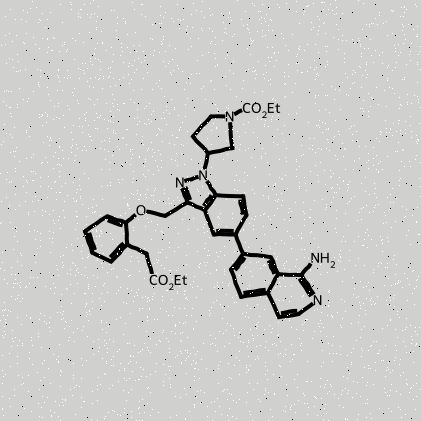 CCOC(=O)Cc1ccccc1OCc1nn(C2CCN(C(=O)OCC)C2)c2ccc(-c3ccc4ccnc(N)c4c3)cc12